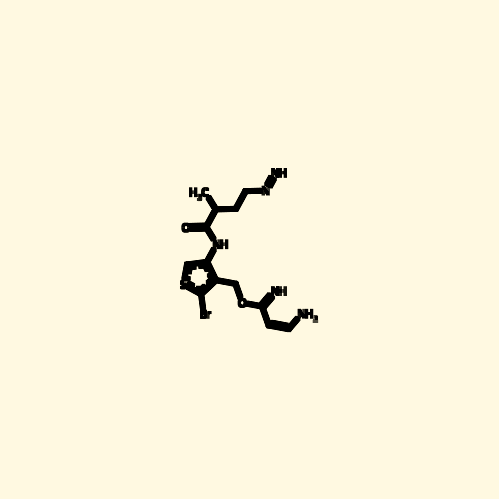 CC(CCN=N)C(=O)Nc1csc(Br)c1COC(=N)/C=C\N